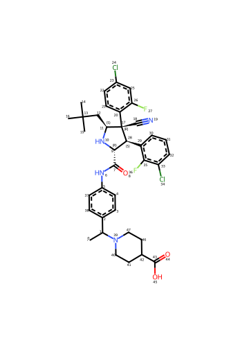 [CH2]C(c1ccc(NC(=O)[C@@H]2N[C@@H](CC(C)(C)C)[C@](C#N)(c3ccc(Cl)cc3F)[C@H]2c2cccc(Cl)c2F)cc1)N1CCC(C(=O)O)CC1